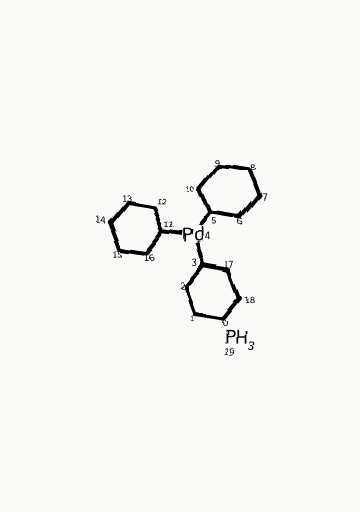 C1CC[CH]([Pd]([CH]2CCCCC2)[CH]2CCCCC2)CC1.P